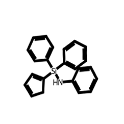 C1=CCC([Si](Nc2ccccc2)(c2ccccc2)c2ccccc2)=C1